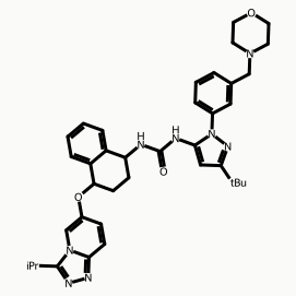 CC(C)c1nnc2ccc(OC3CCC(NC(=O)Nc4cc(C(C)(C)C)nn4-c4cccc(CN5CCOCC5)c4)c4ccccc43)cn12